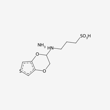 N.O=S(=O)(O)CCCNC1COc2cscc2O1